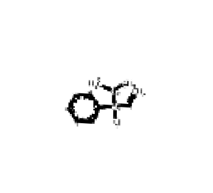 C=C[Si](Cl)(c1ccccc1)N(C)C